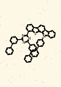 c1ccc(-c2ccc(-n3c4ccccc4c4ccc5c6cccc(-c7nc(-c8cccc(-c9ccccc9)c8)nc(-c8cccc(-c9ccccc9)c8)n7)c6sc5c43)cc2)cc1